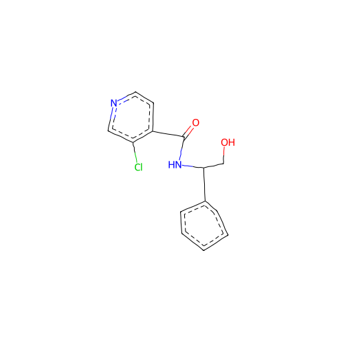 O=C(NC(CO)c1ccccc1)c1ccncc1Cl